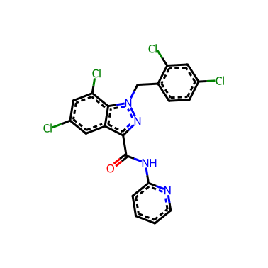 O=C(Nc1ccccn1)c1nn(Cc2ccc(Cl)cc2Cl)c2c(Cl)cc(Cl)cc12